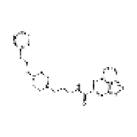 O=C(NCCCN1CCN(CCCc2ccccc2)CC1)C1=Cc2cnc3cccc(n23)S1